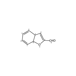 O=CC1=CC2C=CC=CC2O1